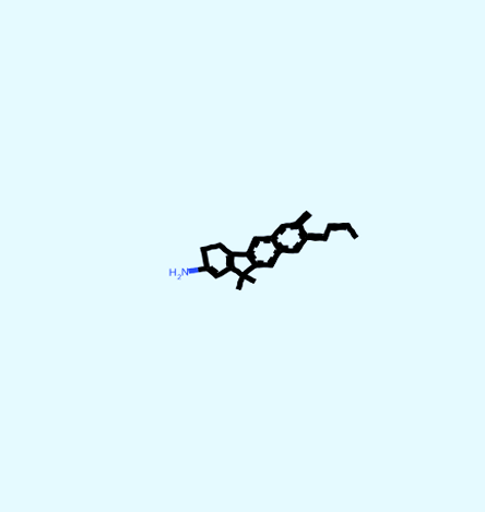 C=c1cc2cc3c(cc2c/c1=C/C=C\C)C(C)(C)C1=C3CCC(N)=C1